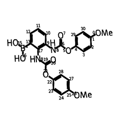 COc1ccc(OC(=O)Nc2cccc(B(O)O)c2NC(=O)Oc2ccc(OC)cc2)cc1